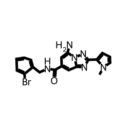 Cn1cccc1-c1nc2cc(C(=O)NCc3ccccc3Br)cc(N)n2n1